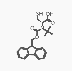 CC(C)(C)N(C(=O)OCC1c2ccccc2-c2ccccc21)[C@@H](CS)C(=O)O